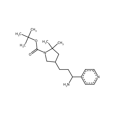 CC(C)(C)OC(=O)N1CC(CCC(N)c2ccncc2)CC1(C)C